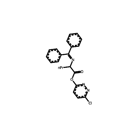 CCCC(N=C(c1ccccc1)c1ccccc1)C(=O)Oc1ccc(Cl)nn1